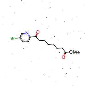 COC(=O)CCCCCCC(=O)c1ccc(Br)cn1